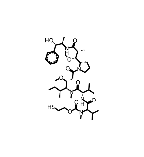 CC[C@H](C)[C@@H]([C@@H](CC(=O)N1CCC[C@H]1[C@H](OC)[C@@H](C)C(=O)N[C@H](C)[C@@H](O)c1ccccc1)OC)N(C)C(=O)[C@@H](NC(=O)C(C(C)C)N(C)C(=O)OCCS)C(C)C